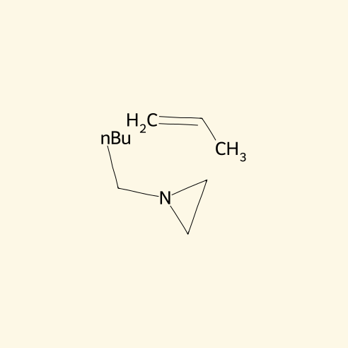 C=CC.CCCCCN1CC1